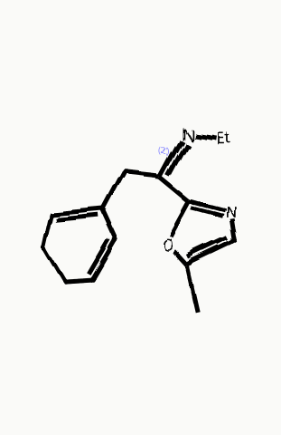 CC/N=C(/CC1=CCCC=C1)c1ncc(C)o1